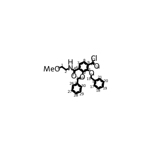 COCCNC(=O)c1ccc(C(=O)Cl)c(OCc2ccccc2)c1OCc1ccccc1